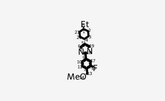 CC[C@H]1CC[C@H](c2cnc(-c3ccc(COC)c(F)c3)nc2)CC1